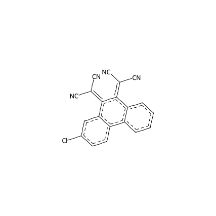 N#CC(C#N)=c1c(=C(C#N)C#N)c2cc(Cl)ccc2c2ccccc12